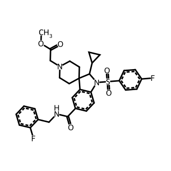 COC(=O)CN1CCC2(CC1)c1cc(C(=O)NCc3ccccc3F)ccc1N(S(=O)(=O)c1ccc(F)cc1)C2C1CC1